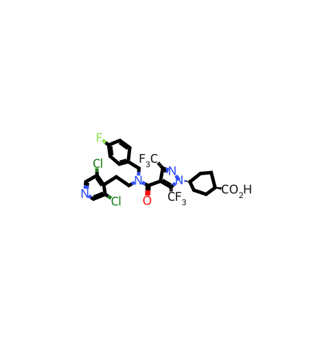 O=C(c1c(C(F)(F)F)nn([C@H]2CC[C@H](C(=O)O)CC2)c1C(F)(F)F)N(CCc1c(Cl)cncc1Cl)Cc1ccc(F)cc1